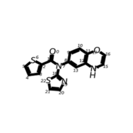 O=C(c1cccs1)N(c1ccc2c(c1)NC=CO2)c1nccs1